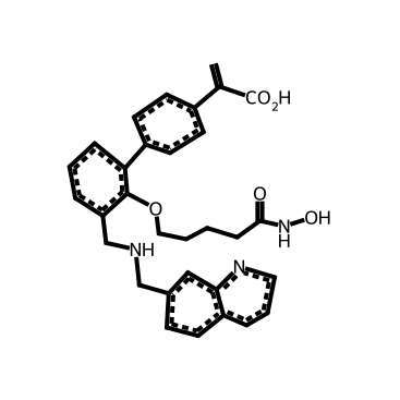 C=C(C(=O)O)c1ccc(-c2cccc(CNCc3ccc4cccnc4c3)c2OCCCCC(=O)NO)cc1